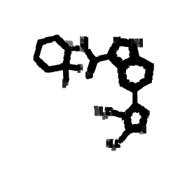 Cc1ncc(-c2ccc3[nH]nc(C(=O)N[C@H]4CCCCC4(F)F)c3c2)n1C